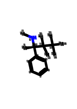 [2H]N[C@@]([2H])(c1ccccc1)C([2H])([2H])C([2H])([2H])[2H]